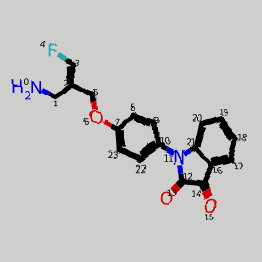 NC/C(=C\F)COc1ccc(N2C(=O)C(=O)c3ccccc32)cc1